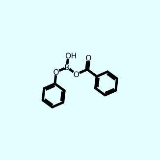 O=C(OB(O)Oc1ccccc1)c1ccccc1